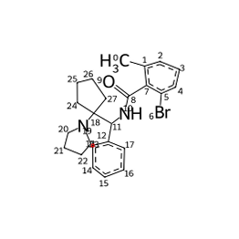 Cc1cccc(Br)c1C(=O)NC(c1ccccc1)C1(N2CCCC2)CCCC1